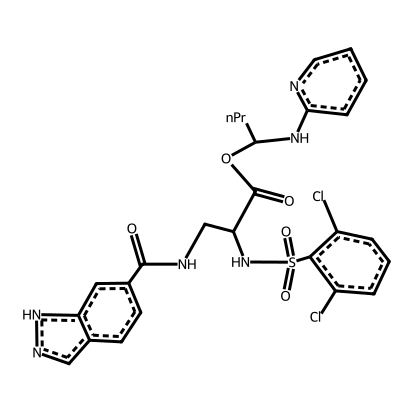 CCCC(Nc1ccccn1)OC(=O)C(CNC(=O)c1ccc2cn[nH]c2c1)NS(=O)(=O)c1c(Cl)cccc1Cl